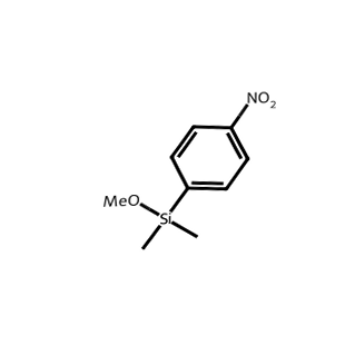 CO[Si](C)(C)c1ccc([N+](=O)[O-])cc1